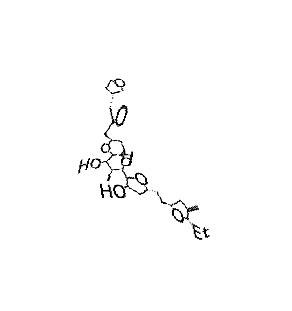 C=C1C[C@H](CC[C@@H]2C[C@@H](O)C(C3O[C@H]4CC[C@H](CC(=O)C[C@@H]5CCOC5)OC4C(O)[C@@H]3C)O2)O[C@H]1CC